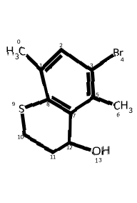 Cc1cc(Br)c(C)c2c1SCCC2O